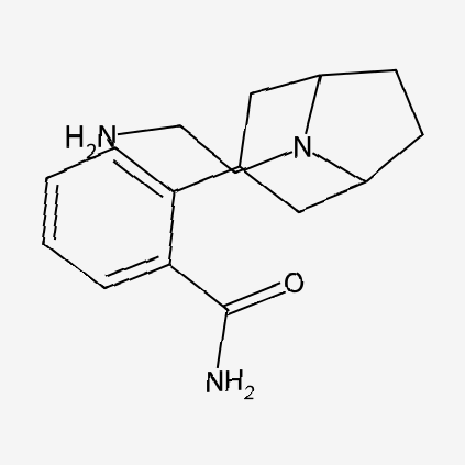 NCCN1C2CCC1CC(c1ccccc1C(N)=O)C2